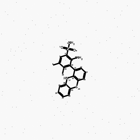 Cc1cc(S(N)(=O)=O)c(N)c(-c2cccc3c2Nc2ccccc2S3)c1C